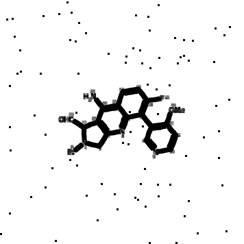 CCN1Cc2nc3c(-c4cnccc4OC)c(F)ccc3c(N)c2C1C=O